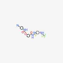 N#Cc1ccc(NC(=O)COc2cccc(C(=O)Nc3nc4c(s3)C[C@@H](NCCC(F)(F)F)CC4)c2)cc1